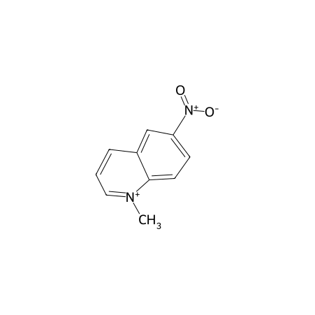 C[n+]1cccc2cc([N+](=O)[O-])ccc21